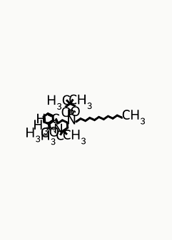 CCCCCCCCCCCCN(C1CC(C)(C)N(OC(C)c2ccccc2)C(C)(C)C1)P1OCC(C)(C)CO1